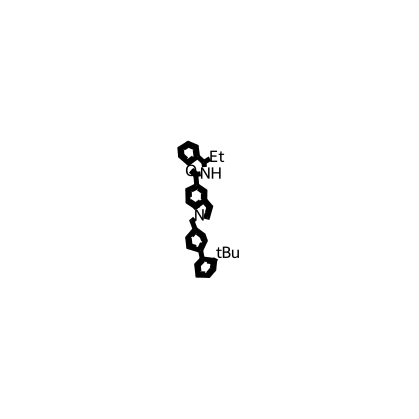 CCC(NC(=O)c1ccc2c(ccn2Cc2ccc(-c3ccccc3C(C)(C)C)cc2)c1)c1ccccc1